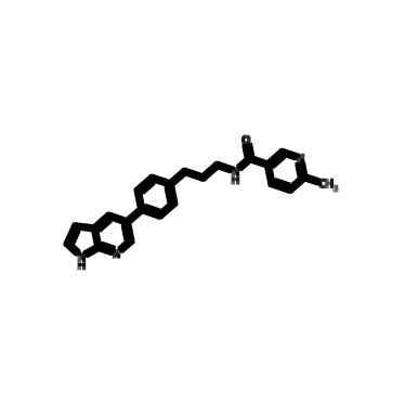 Cc1ccc(C(=O)NCCCc2ccc(-c3cnc4[nH]ccc4c3)cc2)cn1